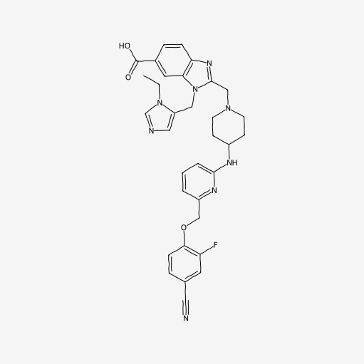 CCn1cncc1Cn1c(CN2CCC(Nc3cccc(COc4ccc(C#N)cc4F)n3)CC2)nc2ccc(C(=O)O)cc21